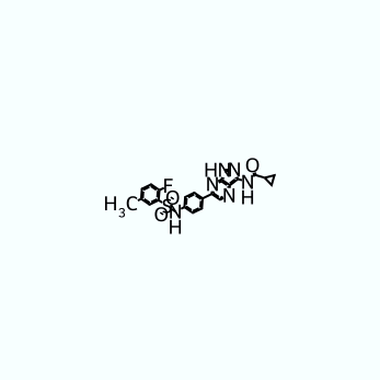 Cc1ccc(F)c(S(=O)(=O)Nc2ccc(-c3cnc4c(NC(=O)C5CC5)n[nH]c4n3)cc2)c1